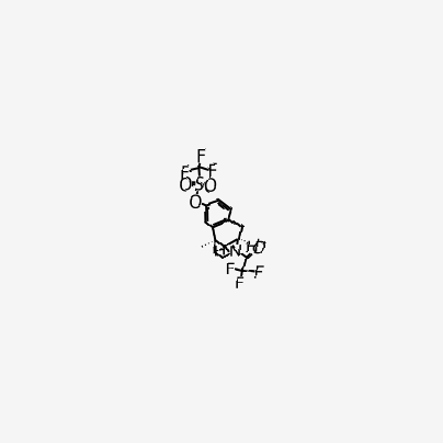 C[C@@H]1[C@H]2Cc3ccc(OS(=O)(=O)C(F)(F)F)cc3[C@]1(C)CCN2C(=O)C(F)(F)F